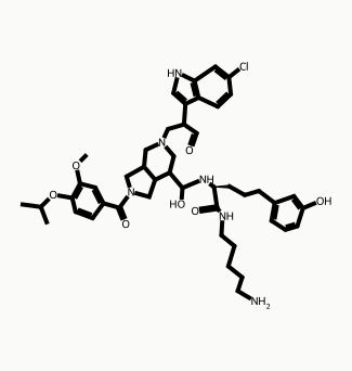 COc1cc(C(=O)N2CC3CN(CC(C=O)c4c[nH]c5cc(Cl)ccc45)CC(C(O)N[C@@H](CCCc4cccc(O)c4)C(=O)NCCCCCN)C3C2)ccc1OC(C)C